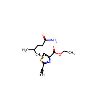 C#Cc1nc(C(=O)OCC)cs1.CC(C)CCC(N)=O